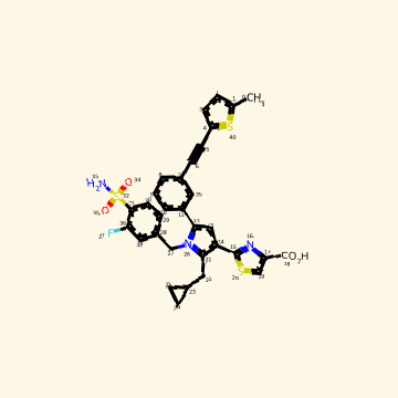 Cc1ccc(C#Cc2cccc(-c3cc(-c4nc(C(=O)O)cs4)c(CC4CC4)n3Cc3ccc(S(N)(=O)=O)c(F)c3)c2)s1